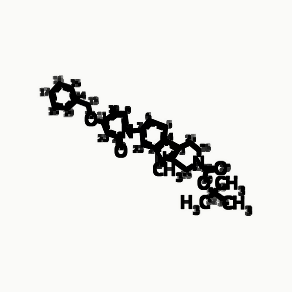 Cn1c2c(c3ccc(-n4ccc(OCc5ccccc5)cc4=O)cc31)CCN(C(=O)OC(C)(C)C)C2